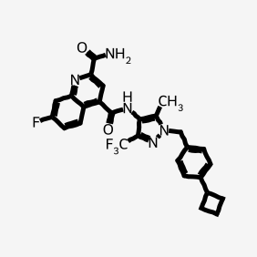 Cc1c(NC(=O)c2cc(C(N)=O)nc3cc(F)ccc23)c(C(F)(F)F)nn1Cc1ccc(C2CCC2)cc1